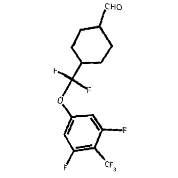 O=CC1CCC(C(F)(F)Oc2cc(F)c(C(F)(F)F)c(F)c2)CC1